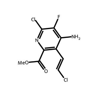 COC(=O)c1nc(Cl)c(F)c(N)c1C=CCl